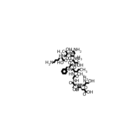 CC[C@H](C)[C@H](NC(=O)CNC(=O)[C@H](CO)NC(=O)[C@H](CCC(=O)O)NC(=O)[C@@H](N)CO)C(=O)N[C@@H](Cc1ccccc1)C(=O)N[C@H](C(=O)N[C@@H](CC(N)=O)C(=O)N[C@H](C(=O)N[C@@H](CCCCN)C(=O)O)[C@@H](C)O)[C@@H](C)O